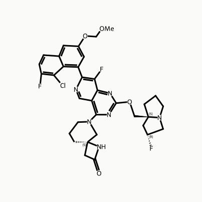 COCOc1cc(-c2ncc3c(N4CCC[C@]5(CC(=O)N5)C4)nc(OC[C@@]45CCCN4C[C@H](F)C5)nc3c2F)c2c(Cl)c(F)ccc2c1